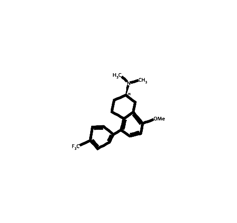 COc1ccc(-c2ccc(C(F)(F)F)cc2)c2c1C[C@H](N(C)C)CC2